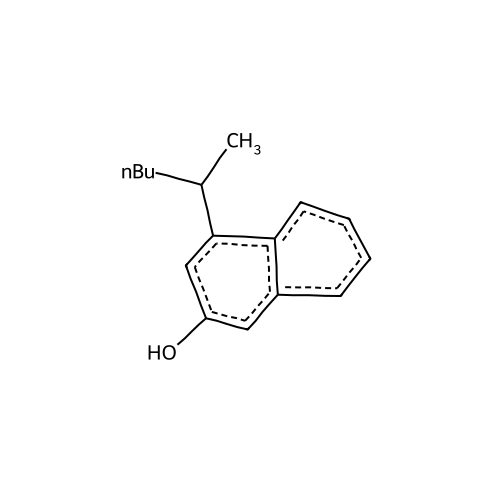 CCCCC(C)c1cc(O)cc2ccccc12